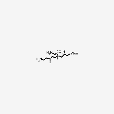 CCCCCCCCCCCCNCCNCCN.NCC(=O)O